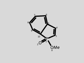 COP1(=O)C=Cc2ccccc21